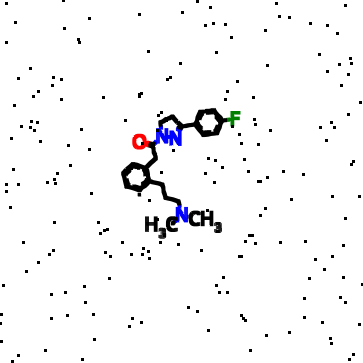 CN(C)CCCc1[c]cccc1CC(=O)N1CCC(c2ccc(F)cc2)=N1